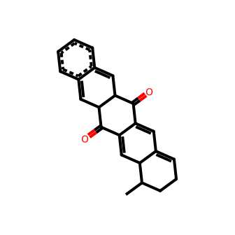 CC1CCC=C2C=C3C(=O)C4C=c5ccccc5=CC4C(=O)C3=CC21